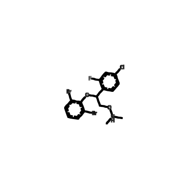 C[SiH](C)OCC(Oc1c(Br)cccc1Br)c1ccc(Cl)cc1F